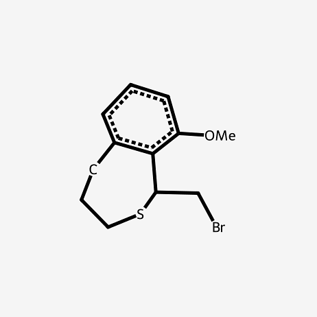 COc1cccc2c1C(CBr)SCCC2